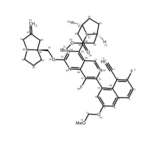 C#Cc1c(F)ccc2cc(OCOC)cc(-c3ncc4c(N5C[C@H]6CC[C@@H](C5)N6C(=O)OC(C)(C)C)nc(OC[C@@]56CCCN5CC(=C)C6)nc4c3F)c12